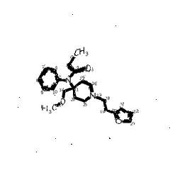 CCC(=O)N(c1ccccc1)C1(COC)CCN(CCc2ccco2)CC1